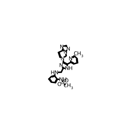 Cc1cccc(-c2[nH]c(CNc3ccccc3NS(C)(=O)=O)nc2N2C=Cc3ncnn3C2)n1